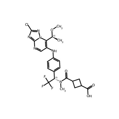 CO[C@@H](C)c1c(Nc2ccc([C@H](N(C)C(=O)C3CC(C(=O)O)C3)C(F)(F)F)cc2)cnc2nc(Cl)nn12